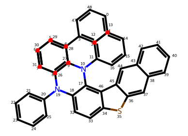 c1ccc(-c2ccccc2N(c2ccccc2)c2c(N(c3ccccc3)c3ccccc3)ccc3sc4cc5ccccc5cc4c23)cc1